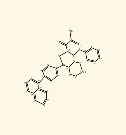 O=C(O)C(=O)N(CCc1ccccc1)CC(c1ccc(-c2cccc3ccccc23)cc1)C1CCNCC1